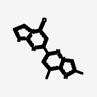 Cc1cn2nc(-c3cc(=O)n4ccsc4n3)cc(C)c2n1